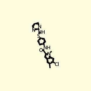 Cc1cc2cc(C(=O)Nc3ccc(SNc4ncccn4)cc3)n(C)c2cc1Cl